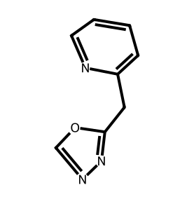 c1ccc(Cc2nnco2)nc1